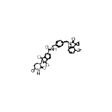 O=C1CCC(N2C(=O)c3ccc(C(=O)NCc4ccc(CNC(=O)C5(c6ccccc6Br)CC5)cc4)cc3C2=O)C(=O)N1